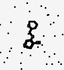 N#Cc1ccncc1OCC1CCCCO1